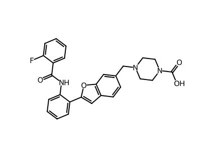 O=C(Nc1ccccc1-c1cc2ccc(CN3CCN(C(=O)O)CC3)cc2o1)c1ccccc1F